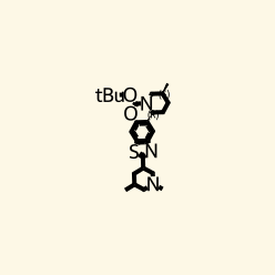 CC1CC(c2nc3cc([C@H]4CC[C@H](C)CN4C(=O)OC(C)(C)C)ccc3s2)CN(C)C1